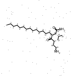 CCCCCCCCCCCCCCN(C(=O)CCCN)[C@H](C(N)=O)C(C)C